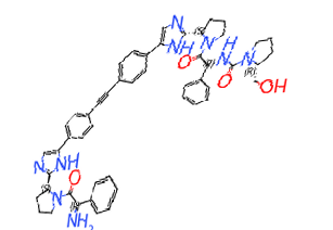 N[C@@H](C(=O)N1CCC[C@H]1c1ncc(-c2ccc(C#Cc3ccc(-c4cnc([C@@H]5CCCN5C(=O)[C@H](NC(=O)N5CCC[C@@H]5CO)c5ccccc5)[nH]4)cc3)cc2)[nH]1)c1ccccc1